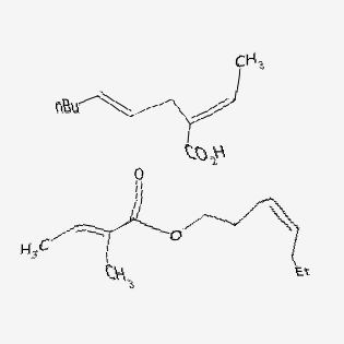 C/C=C(\C)C(=O)OCC/C=C\CC.C/C=C(\CC=CCCCC)C(=O)O